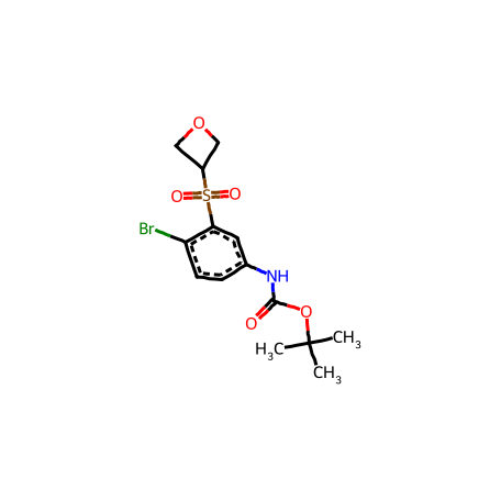 CC(C)(C)OC(=O)Nc1ccc(Br)c(S(=O)(=O)C2COC2)c1